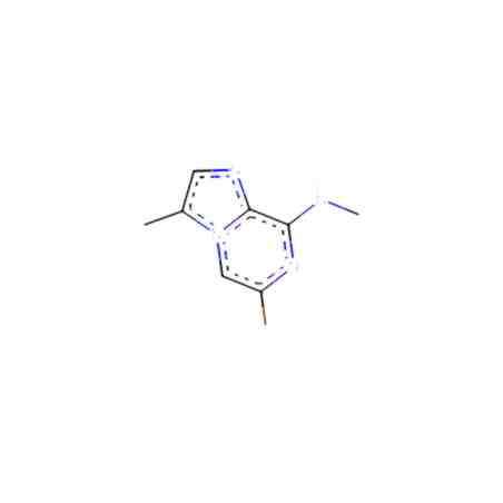 CNc1nc(Br)cn2c(C)cnc12